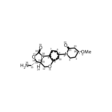 CO[C@@H]1CCN(c2ccc3c(c2)OC[C@H]2[C@H](CN)OC(=O)N32)C(=O)C1